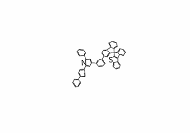 c1ccc(-c2ccc(-c3cc(-c4cccc(-c5ccc6c(c5)C5(c7ccccc7-6)c6ccccc6-c6c5sc5ccccc65)c4)cc(-c4ccccc4)n3)cc2)cc1